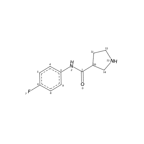 O=C(Nc1ccc(F)cc1)C1CCNC1